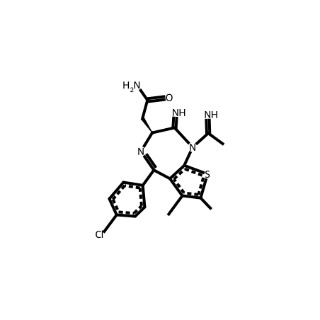 CC(=N)N1C(=N)[C@H](CC(N)=O)N=C(c2ccc(Cl)cc2)c2c1sc(C)c2C